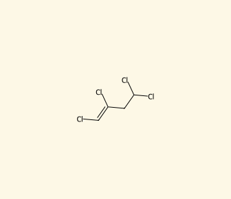 ClC=C(Cl)CC(Cl)Cl